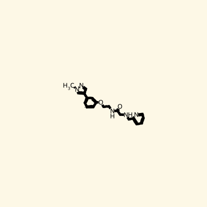 Cn1cc(-c2c[c]cc(OCCNC(=O)CNCc3ccccn3)c2)cn1